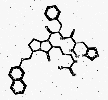 [2H]N[C@@H](Cc1cnc[nH]1)C(=O)N[C@@H](Cc1ccccc1)C(=O)N1C2CC[C@H](COc3ccc4ccccc4c3)N2C(=O)[C@@H]1CCCNC(=N)N